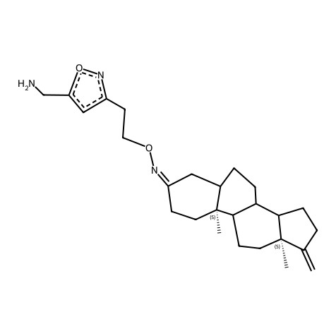 C=C1CCC2C3CCC4CC(=NOCCc5cc(CN)on5)CC[C@]4(C)C3CC[C@]12C